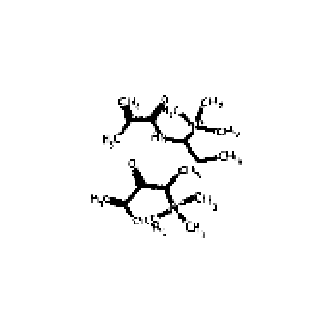 C=C(C)C(=O)C(C)[N+](C)(C)C.C=C(C)C(=O)NC(CC)[N+](C)(C)C